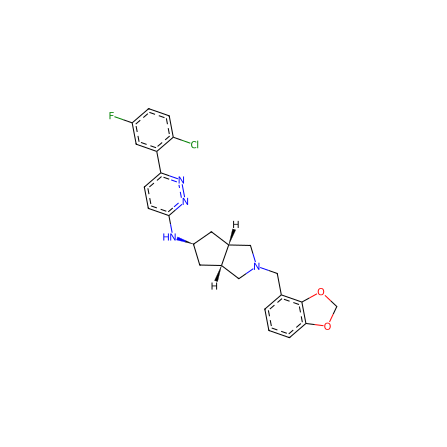 Fc1ccc(Cl)c(-c2ccc(N[C@H]3C[C@@H]4CN(Cc5cccc6c5OCO6)C[C@@H]4C3)nn2)c1